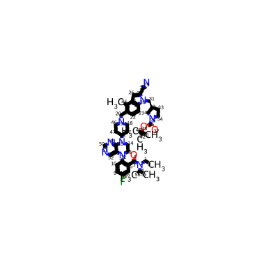 CCN(C(=O)c1cc(F)ccc1N1CCN(C2CCN(Cc3ccc4c(cc(C#N)n4C[C@H]4CCN(C(=O)OC(C)(C)C)C4)c3C)CC2)c2ncncc21)C(C)C